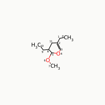 CCC1=COC(OC)C(CC)C1